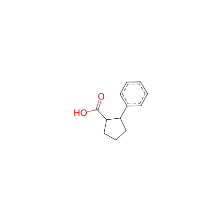 O=C(O)C1CCCC1c1ccccc1